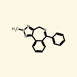 Cn1nc2c(n1)-c1ccccc1C(c1ccccc1)=NC2